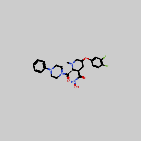 CN1CC(Oc2ccc(F)c(F)c2)CC(C(=O)NO)[C@H]1C(=O)N1CCN(c2ccccc2)CC1